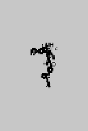 CCOCc1nc2c(N)nc3cc(-c4cccnc4)ccc3c2n1CCCCNC(=O)c1ccc(Cc2ccccc2OCCN(C)C)cc1